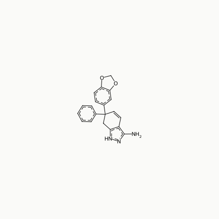 Nc1n[nH]c2c1C=CC(c1ccccc1)(c1ccc3c(c1)OCO3)C2